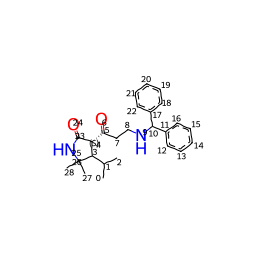 CC(C)C1[C@@H](C(=O)CCNC(c2ccccc2)c2ccccc2)C(=O)NC1(C)C